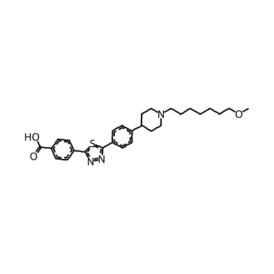 COCCCCCCCN1CCC(c2ccc(-c3nnc(-c4ccc(C(=O)O)cc4)s3)cc2)CC1